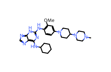 COc1cc(N2CCC(N3CCN(C)CC3)CC2)ccc1Nc1nc(NC2CCCCC2)c2ncnc-2[nH]1